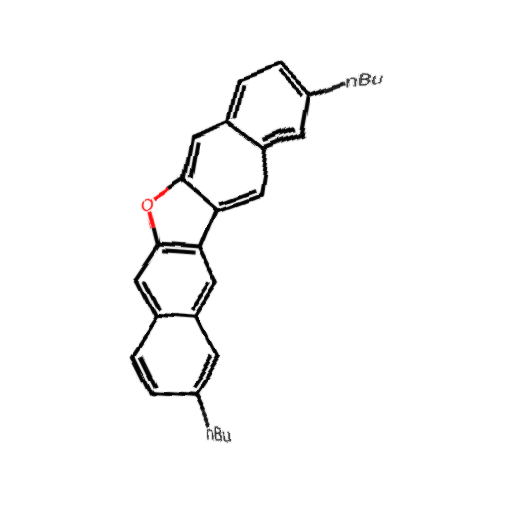 CCCCc1ccc2cc3oc4cc5ccc(CCCC)cc5cc4c3cc2c1